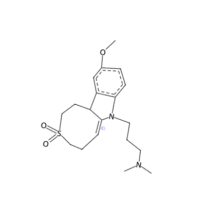 COc1ccc2c(c1)C1CCS(=O)(=O)CC/C=C\1N2CCCN(C)C